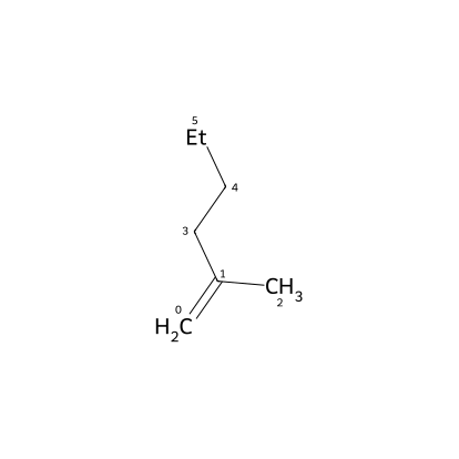 C=C(C)CCCC